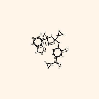 CC(C)(CC(O)(Cc1ccc(C(=O)C2CC2)cc1Cl)C1CC1)c1cccc2c1OCC2